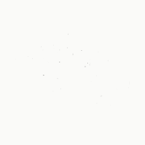 CCOc1ccc(C(=O)CCc2csc(-c3ccc(OC)c(OC)c3)n2)cc1OCC